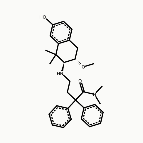 CO[C@H]1Cc2ccc(O)cc2C(C)(C)[C@@H]1NCCC(C(=O)N(C)C)(c1ccccc1)c1ccccc1